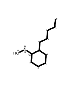 CCCCCC1CCCCC1NO